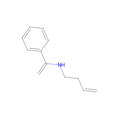 C=CCCNC(=C)c1ccccc1